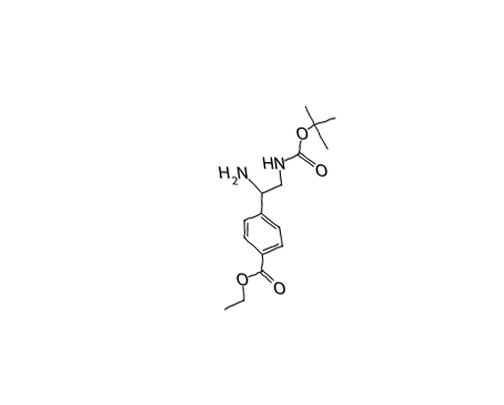 CCOC(=O)c1ccc(C(N)CNC(=O)OC(C)(C)C)cc1